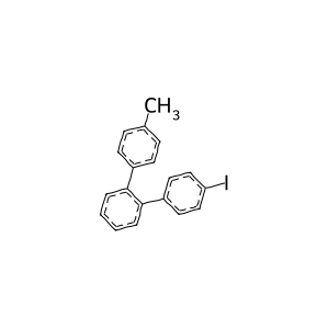 Cc1ccc(-c2ccccc2-c2ccc(I)cc2)cc1